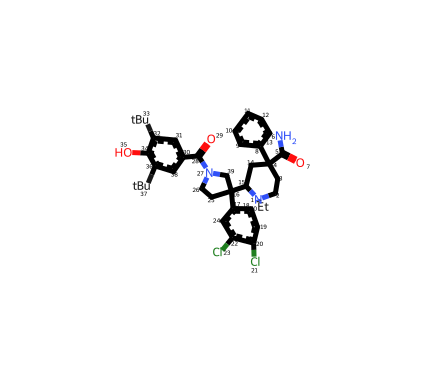 CCN1CCC(C(N)=O)(c2ccccc2)CC1C1(c2ccc(Cl)c(Cl)c2)CCN(C(=O)c2cc(C(C)(C)C)c(O)c(C(C)(C)C)c2)C1